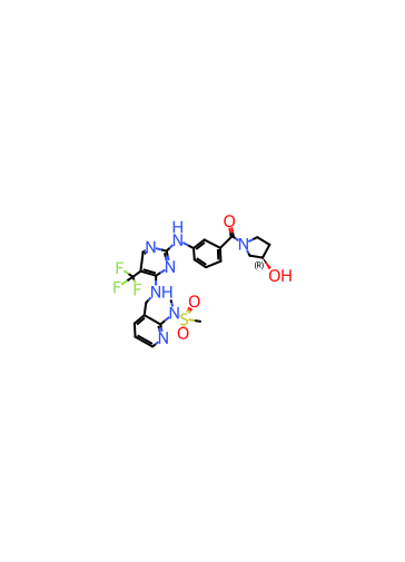 CN(c1ncccc1CNc1nc(Nc2cccc(C(=O)N3CC[C@@H](O)C3)c2)ncc1C(F)(F)F)S(C)(=O)=O